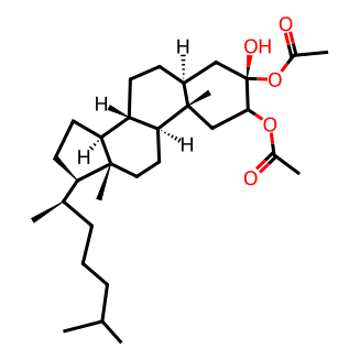 CC(=O)OC1C[C@@]2(C)[C@@H](CC[C@@H]3[C@@H]2CC[C@]2(C)[C@@H]([C@H](C)CCCC(C)C)CC[C@@H]32)C[C@]1(O)OC(C)=O